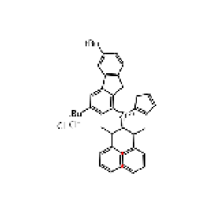 CC([C](C(C)c1ccccc1)=[Zr+2]([C]1=CC=CC1)[c]1cc(C(C)(C)C)cc2c1Cc1ccc(C(C)(C)C)cc1-2)c1ccccc1.[Cl-].[Cl-]